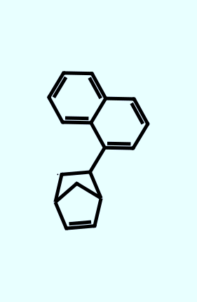 [CH]1C2C=CC(C2)C1c1cccc2ccccc12